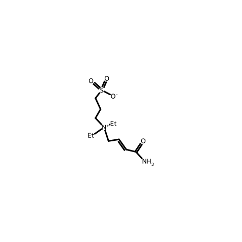 CC[N+](CC)(CC=CC(N)=O)CCCS(=O)(=O)[O-]